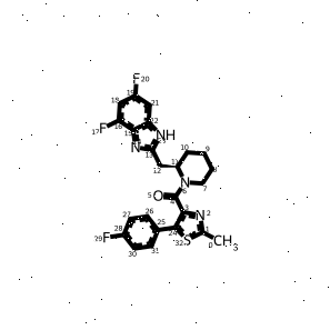 Cc1nc(C(=O)N2CCCC[C@@H]2Cc2nc3c(F)cc(F)cc3[nH]2)c(-c2ccc(F)cc2)s1